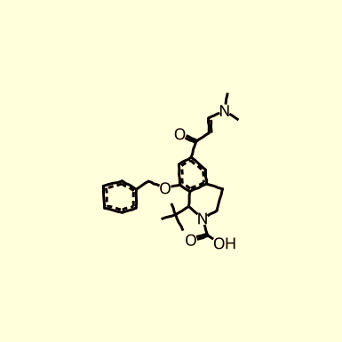 CN(C)C=CC(=O)c1cc2c(c(OCc3ccccc3)c1)C(C(C)(C)C)N(C(=O)O)CC2